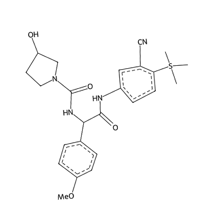 COc1ccc(C(NC(=O)N2CCC(O)C2)C(=O)Nc2ccc(S(C)(C)C)c(C#N)c2)cc1